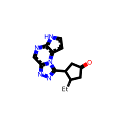 CCC1CC(=O)CC1c1nnc2cnc3[nH]ccc3n12